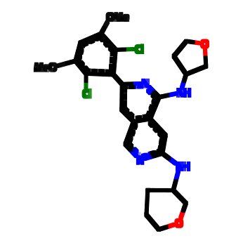 COc1cc(OC)c(Cl)c(-c2cc3cnc(NC4CCCOC4)cc3c(NC3CCOC3)n2)c1Cl